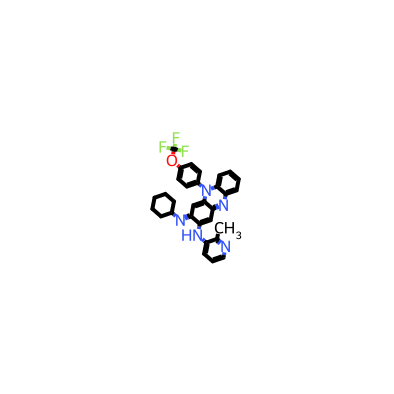 Cc1ncccc1Nc1cc2nc3ccccc3n(-c3ccc(OC(F)(F)F)cc3)c-2c/c1=N\C1CCCCC1